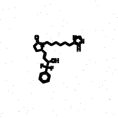 O=C1CC[C@H](/C=C/[C@@H](O)C(F)(F)c2ccccc2)N1CCCCCCc1ncn[nH]1